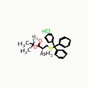 CC(C)(C)OC(=O)[C@@H]([AsH2])CSC(c1ccccc1)(c1ccccc1)c1ccccc1.Cl